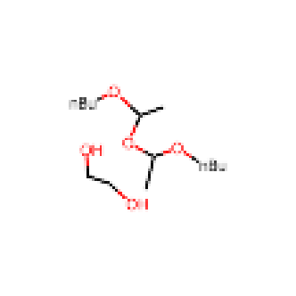 CCCCOC(C)OC(C)OCCCC.OCCO